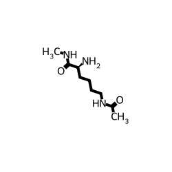 CNC(=O)[C@@H](N)CCCCNC(C)=O